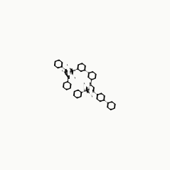 c1ccc(-c2ccc(-c3cc(-c4cccc(-c5cccc(-c6nc(-c7ccccc7)nc(-c7ccccc7)n6)c5)c4)nc(-c4ccccc4)n3)cc2)cc1